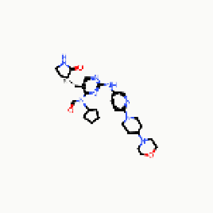 O=CN(c1nc(Nc2ccc(N3CCC(N4CCOCC4)CC3)nc2)ncc1C[C@@H]1CCNC1=O)C1CCCC1